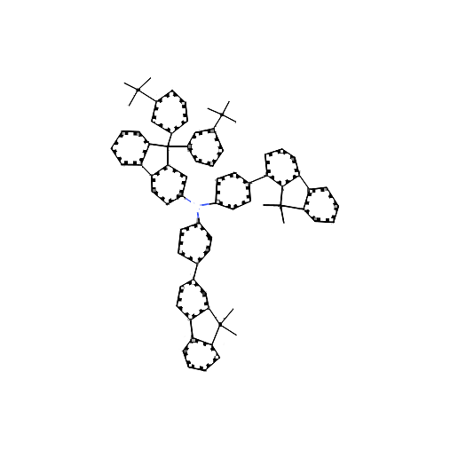 CC(C)(C)c1cccc(C2(c3cccc(C(C)(C)C)c3)c3ccccc3-c3ccc(N(c4ccc(-c5ccc6c(c5)C(C)(C)c5ccccc5-6)cc4)c4ccc(-c5cccc6c5C(C)(C)c5ccccc5-6)cc4)cc32)c1